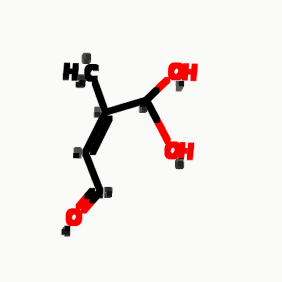 CC(=C[C]=O)C(O)O